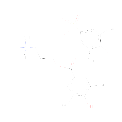 CC(C)(C)c1cc(C(=O)OCCC[N+](C)(C)C)cc(C(C)(C)C)c1O.CC(C)(C)c1cc(S(=O)(=O)[O-])cc(C(C)(C)C)c1O